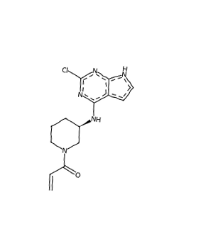 C=CC(=O)N1CCC[C@@H](Nc2nc(Cl)nc3[nH]ccc23)C1